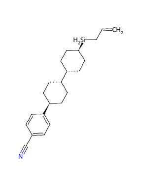 C=CC[SiH2][C@H]1CC[C@H]([C@H]2CC[C@H](c3ccc(C#N)cc3)CC2)CC1